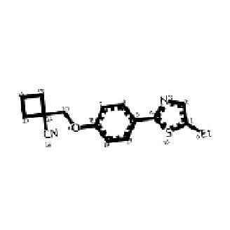 CCc1cnc(-c2ccc(OCC3(C#N)CCC3)cc2)s1